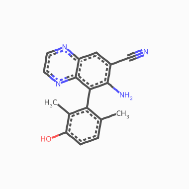 Cc1ccc(O)c(C)c1-c1c(N)c(C#N)cc2nccnc12